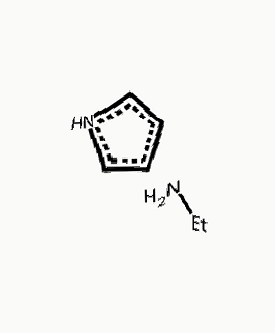 CCN.c1cc[nH]c1